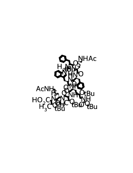 CC(=O)NCSC[C@H](NC(=O)[C@H](N)Cc1ccccc1)C(=O)N[C@@H](Cc1ccc(OC(C)(C)C)cc1)C(=O)N[C@H](Cc1cn(C(C)(C)C)c2ccccc12)C(=O)N[C@@H](CCCCNC(=O)OC(C)(C)C)C(=O)N[C@H](C(=O)N[C@@H](CSCNC(C)=O)C(=O)N[C@H](C(=O)O)[C@@H](C)OC(C)(C)C)[C@@H](C)OC(C)(C)C